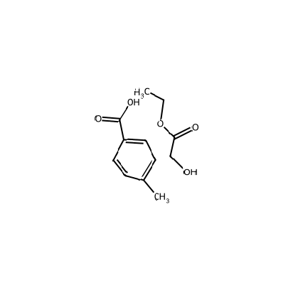 CCOC(=O)CO.Cc1ccc(C(=O)O)cc1